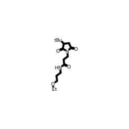 CCOCCCNC(=O)CCN1C(=O)CC(C(C)(C)C)C1=O